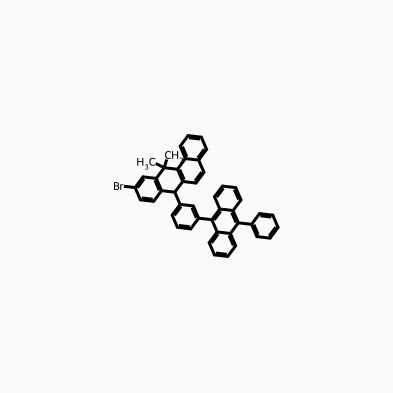 CC1(C)c2cc(Br)ccc2C(c2cccc(-c3c4ccccc4c(-c4ccccc4)c4ccccc34)c2)c2ccc3ccccc3c21